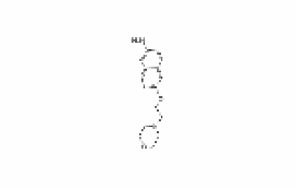 Nc1ccc2cc(OCCN3CCOCC3)ccc2c1